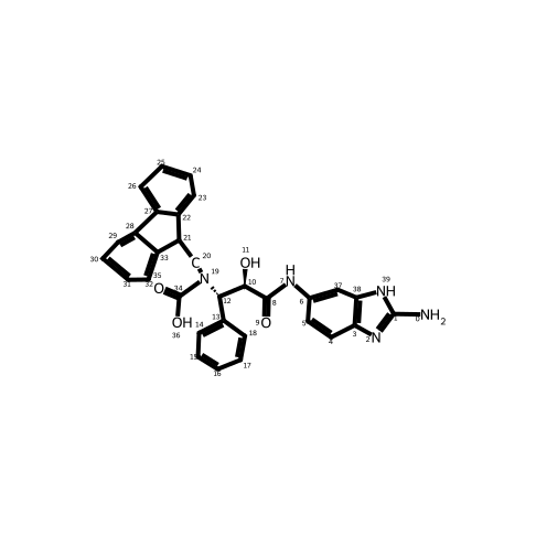 Nc1nc2ccc(NC(=O)[C@H](O)[C@H](c3ccccc3)N(CC3c4ccccc4-c4ccccc43)C(=O)O)cc2[nH]1